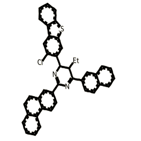 CCC1C(c2ccc3ccccc3c2)=NC(c2ccc3c(ccc4ccccc43)c2)=NC1c1cc2sc3ccccc3c2cc1Cl